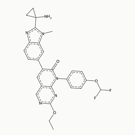 CCOc1ncc2cc(-c3ccc4nc(C5(N)CC5)n(C)c4c3)c(=O)n(-c3ccc(OC(F)F)cc3)c2n1